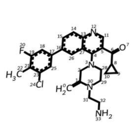 C=C1CN(c2c(C(=O)C3CC3)cnc3ccc(-c4cc(F)c(C)c(Cl)c4)cc23)CCN1CCN